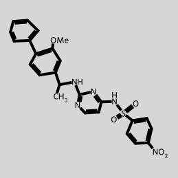 COc1cc(C(C)Nc2nccc(NS(=O)(=O)c3ccc([N+](=O)[O-])cc3)n2)ccc1-c1ccccc1